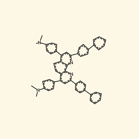 CN(C)c1ccc(-c2cc(-c3ccc(-c4ccccc4)cc3)nc3c2ccc2c(-c4ccc(N(C)C)cc4)cc(-c4ccc(-c5ccccc5)cc4)nc23)cc1